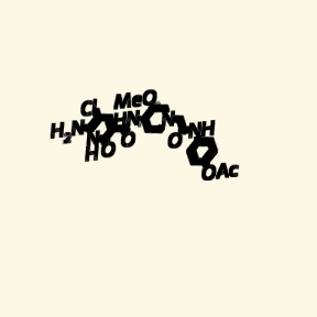 CO[C@H]1CN(CC(=O)Nc2ccc(OC(C)=O)cc2)CC[C@H]1NC(=O)c1cc(Cl)c(N)[nH]c1=O